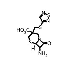 NC1C(=O)N2CC(CSc3cnsn3)(C(=O)O)CS[C@H]12